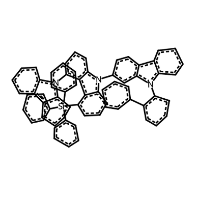 c1ccc(-c2ccccc2-n2c3ccccc3c3ccc(-n4c5cccc(-n6c7ccccc7c7ccccc76)c5c5c([Si](c6ccccc6)(c6ccccc6)c6ccccc6)cccc54)cc32)cc1